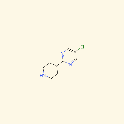 Clc1cnc(C2CCNCC2)nc1